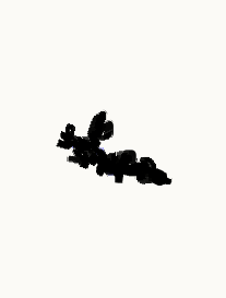 C=CC1=C(C)C(=O)N/C1=C\C1=NC(=C\c2[nH]c(/C=C3\NC(=O)C(CCS(=O)(=O)c4ccc(C)cc4)=C3C)c(C)c2CCC(=O)OC)/C(CCC(=O)OC)=C1C